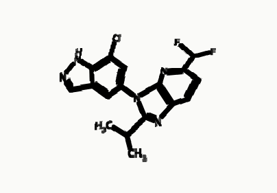 CC(C)c1nc2ccc(C(F)F)nc2n1-c1cc(Cl)c2[nH]ncc2c1